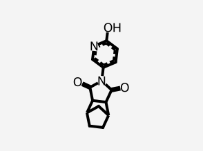 O=C1C2C3CCC(C3)C2C(=O)N1c1ccc(O)nc1